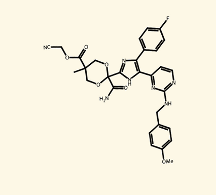 COc1ccc(CNc2nccc(-c3[nH]c(C4(C(N)=O)OCC(C)(C(=O)OCC#N)CO4)nc3-c3ccc(F)cc3)n2)cc1